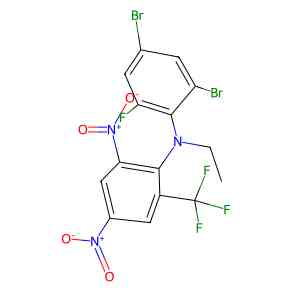 CCN(c1c(F)cc(Br)cc1Br)c1c([N+](=O)[O-])cc([N+](=O)[O-])cc1C(F)(F)F